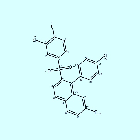 O=S(=O)(c1ccc(F)c(Cl)c1)c1ccc2ccc(F)cc2c1-c1ccc(Cl)cc1